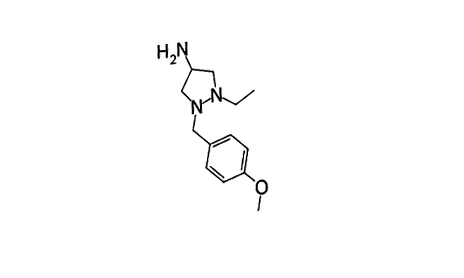 CCN1CC(N)CN1Cc1ccc(OC)cc1